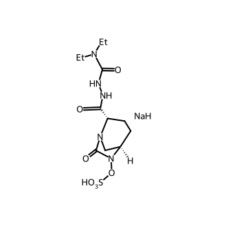 CCN(CC)C(=O)NNC(=O)[C@@H]1CC[C@@H]2CN1C(=O)N2OS(=O)(=O)O.[NaH]